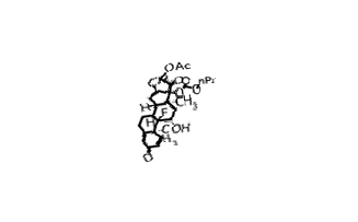 CCCOC(=O)O[C@]1(C(=O)COC(C)=O)[C@H](C)C[C@H]2[C@@H]3CCC4=CC(=O)C=C[C@]4(C)[C@@]3(F)[C@@H](O)C[C@@]21C